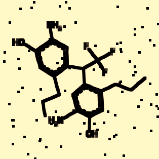 CCCc1cc(O)c(N)cc1C(c1cc(N)c(O)cc1CCC)C(F)(F)F